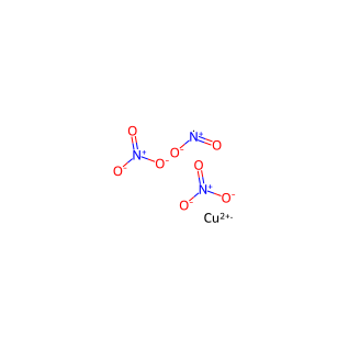 O=[N+]([O-])[O-].O=[N+]([O-])[O-].O=[N+][O-].[Cu+2]